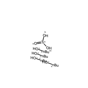 CCCCO.CCCCO.CCCCO.CCCCO.[O]=[Ti]([OH])[OH]